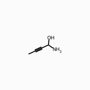 CC#CC(N)O